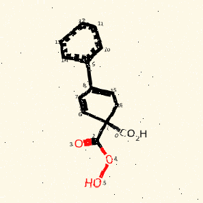 O=C(O)C1(C(=O)OO)C=CC(c2ccccc2)=CC1